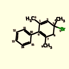 CC1=CC(C)(Br)CC(C)=C1c1ccccc1